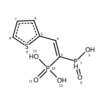 O=[PH](O)C(=Cc1cccs1)P(=O)(O)O